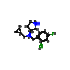 Fc1ccc(CN(CC2CC2)[C@H]2CCNC2)c(Cl)c1